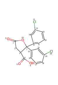 O=C1CC(C(=O)O)C(c2cccc(Cl)c2)(c2cccc(Cl)c2)O1